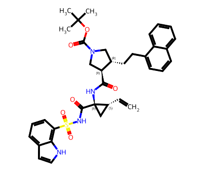 C=C[C@@H]1C[C@]1(NC(=O)[C@H]1CN(C(=O)OC(C)(C)C)C[C@@H]1CCc1cccc2ccccc12)C(=O)NS(=O)(=O)c1cccc2cc[nH]c12